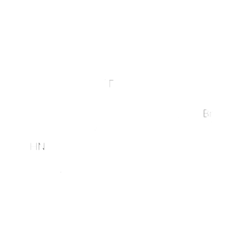 CCC1CC(c2ccc(Br)cc2F)=CCN1